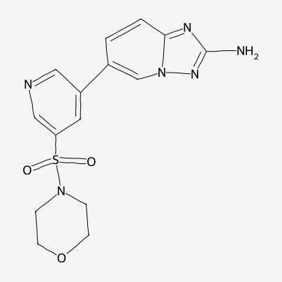 Nc1nc2ccc(-c3cncc(S(=O)(=O)N4CCOCC4)c3)cn2n1